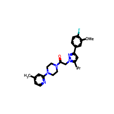 COc1cc(-c2cc(C(C)C)n(CC(=O)N3CCN(c4cc(C)ccn4)CC3)n2)ccc1F